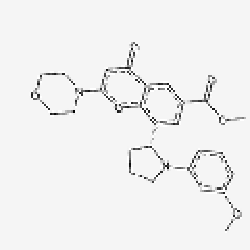 COC(=O)c1cc([C@H]2CCCN2c2cccc(OC)c2)c2oc(N3CCOCC3)cc(=O)c2c1